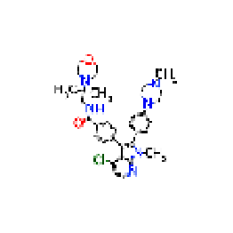 CN1CCN(c2ccc(-c3c(-c4ccc(C(=O)NCC(C)(C)N5CCOCC5)cc4)c4c(Cl)ccnc4n3C)cc2)CC1